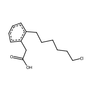 O=C(O)Cc1ccccc1CCCCCCCl